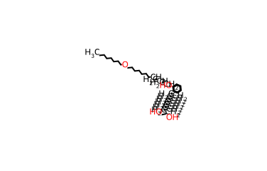 C=C.C=C.C=C.C=C.C=C.C=C.C=C.C=C.C=C.CCCCCCCCOCCCCCCCC.OCCO.Oc1ccccc1